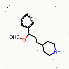 O=[C]OC(CCC1CCNCC1)c1ccccc1